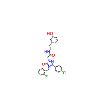 O=C(Cn1nc(-c2ccc(Cl)cc2)n(Cc2ccccc2F)c1=O)NCCc1cccc(O)c1